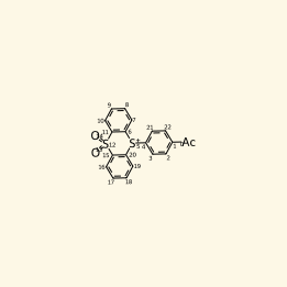 CC(=O)c1ccc([S+]2c3ccccc3S(=O)(=O)c3ccccc32)cc1